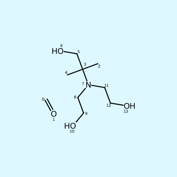 C=O.CC(C)(CO)N(CCO)CCO